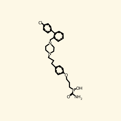 NC(=O)N(O)CCCOc1ccc(CCCN2CCN(Cc3ccccc3-c3ccc(Cl)cc3)CC2)cc1